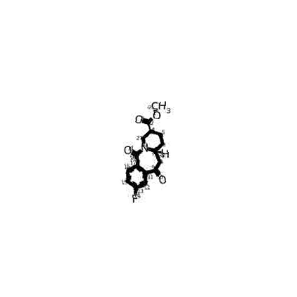 COC(=O)[C@H]1CC[C@@H]2CC(=O)c3cc(F)ccc3C(=O)N2C1